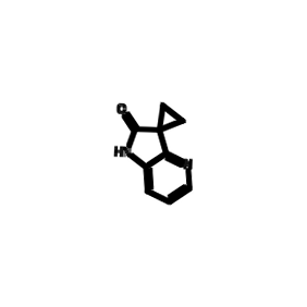 O=C1Nc2cccnc2C12CC2